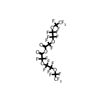 O=C(OC(=O)C(F)(F)OC(F)(F)C(F)(F)OC(F)(F)C(F)(F)F)C(F)(F)OC(F)(F)C(F)(F)OC(F)(F)C(F)(F)F